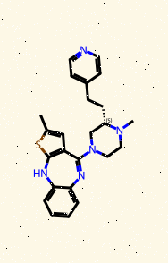 Cc1cc2c(s1)Nc1ccccc1N=C2N1CCN(C)[C@@H](CCc2ccncc2)C1